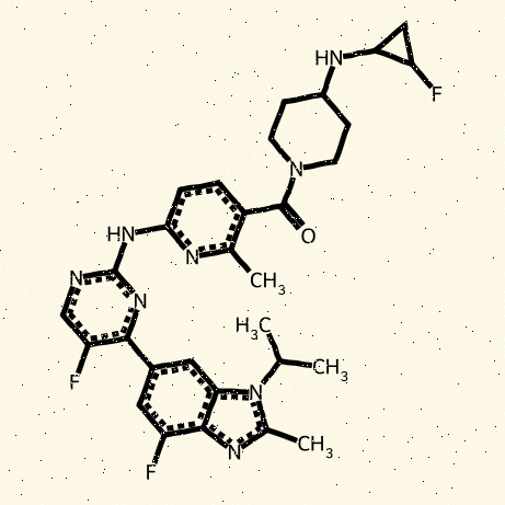 Cc1nc(Nc2ncc(F)c(-c3cc(F)c4nc(C)n(C(C)C)c4c3)n2)ccc1C(=O)N1CCC(NC2CC2F)CC1